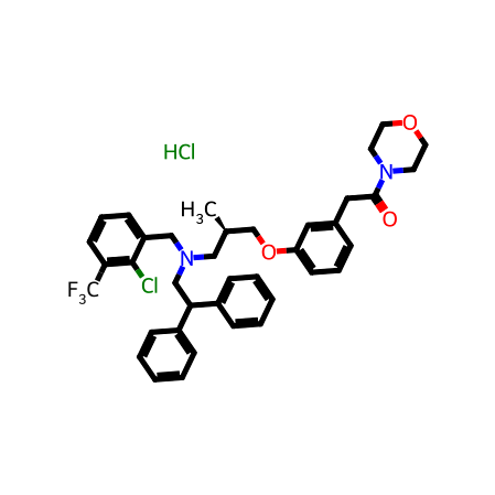 C[C@@H](COc1cccc(CC(=O)N2CCOCC2)c1)CN(Cc1cccc(C(F)(F)F)c1Cl)CC(c1ccccc1)c1ccccc1.Cl